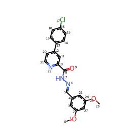 COc1cc(C=NNC(=O)c2cc(-c3ccc(Cl)cc3)ccn2)cc(OC)c1